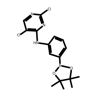 CC1(C)OB(c2cccc(Nc3nc(Cl)ncc3Cl)c2)OC1(C)C